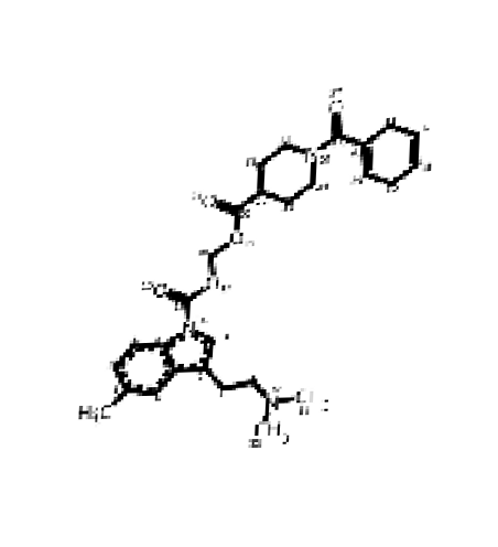 Cc1ccc2c(c1)c(CCN(C)C)cn2C(=O)OCOC(=O)C1CCN(C(=O)C2=CCC=CC2)CC1